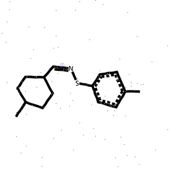 Cc1ccc(S/N=C\C2CCC(C)CC2)cc1